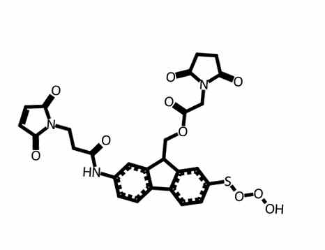 O=C(CCN1C(=O)C=CC1=O)Nc1ccc2c(c1)C(COC(=O)CN1C(=O)CCC1=O)c1cc(SOOO)ccc1-2